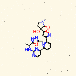 Cc1nnc(C(C)Nc2nccc(-c3cccc(-c4cc([C@]5(O)CCN(C)C5=O)on4)n3)n2)o1